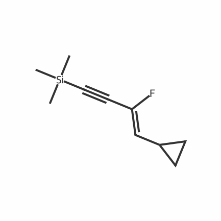 C[Si](C)(C)C#CC(F)=CC1CC1